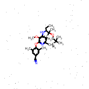 CCC(Nc1cc(C)nc(Oc2c(C)cc(C#N)cc2C)c1OC)C(C)(C)O[SiH2]C(C)(C)C